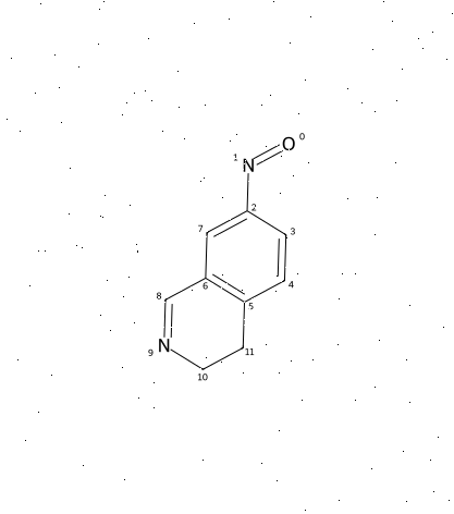 O=Nc1ccc2c(c1)C=NCC2